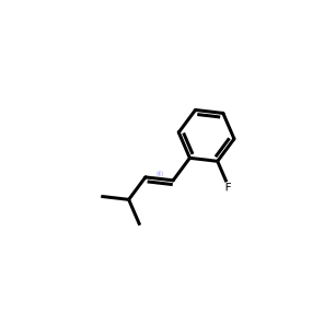 CC(C)/C=C/c1ccccc1F